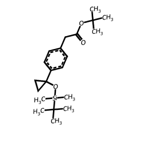 CC(C)(C)OC(=O)Cc1ccc(C2(O[Si](C)(C)C(C)(C)C)CC2)cc1